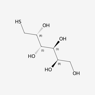 OC[C@@H](O)[C@H](O)[C@H](O)[C@@H](O)CS